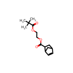 CC(C)(C)C(=O)OCCOC(=O)C1CC2C=CC1C2